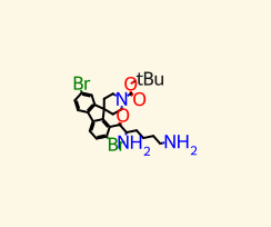 CC(C)(C)OC(=O)N1CCC2(CC1)c1cc(Br)ccc1-c1ccc(Br)c(C(=O)C(N)CCCCN)c12